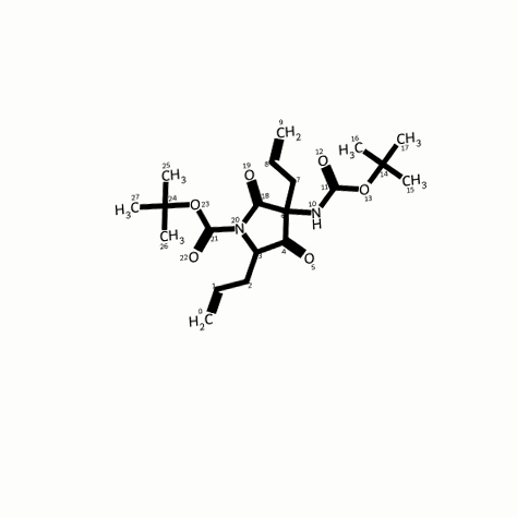 C=CCC1C(=O)C(CC=C)(NC(=O)OC(C)(C)C)C(=O)N1C(=O)OC(C)(C)C